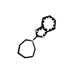 c1ccc2oc(N3CCCCCC3)nc2c1